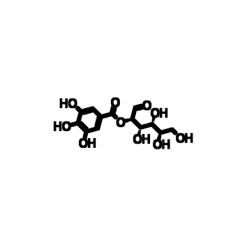 O=C[C@H](OC(=O)c1cc(O)c(O)c(O)c1)[C@@H](O)[C@H](O)[C@H](O)CO